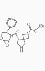 CC(C)(C)OC(=O)N1CC2(CNC[C@H]2C(=O)N2C3OC3OC[C@H]2c2ccccc2)C1